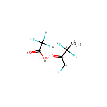 CCOC(=O)C(F)(F)C(=O)CF.O=C(O)C(F)(F)F